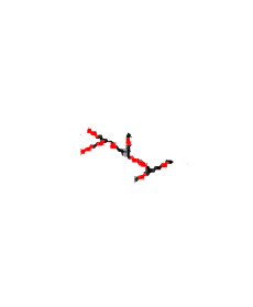 CCCCCCCCC(CCCCCC)COC(=O)CCCCCN(CCCCCC(=O)OCC(CCCCCC)CCCCCCCC)CCCC(=O)OCC